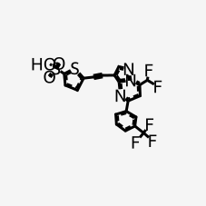 O=S(=O)(O)c1ccc(C#Cc2cnn3c(C(F)F)cc(-c4cccc(C(F)(F)F)c4)nc23)s1